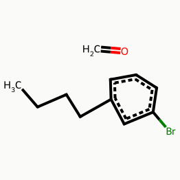 C=O.CCCCc1cccc(Br)c1